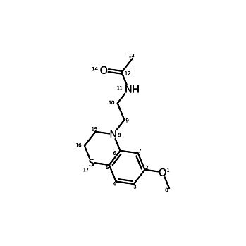 COc1ccc2c(c1)N(CCNC(C)=O)CCS2